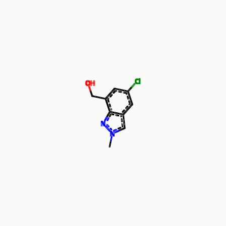 Cn1cc2cc(Cl)cc(CO)c2n1